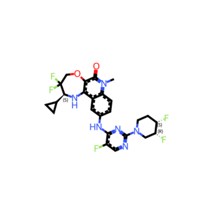 Cn1c(=O)c2c(c3cc(Nc4nc(N5CC[C@H](F)[C@H](F)C5)ncc4F)ccc31)N[C@@H](C1CC1)C(F)(F)CO2